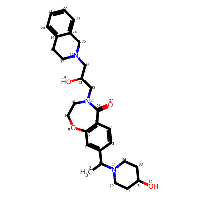 CC(c1ccc2c(c1)OCCN(CC(O)CN1CCc3ccccc3C1)C2=O)N1CCC(O)CC1